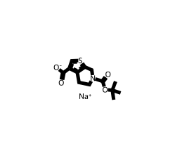 CC(C)(C)OC(=O)N1CCc2c(C(=O)[O-])csc2C1.[Na+]